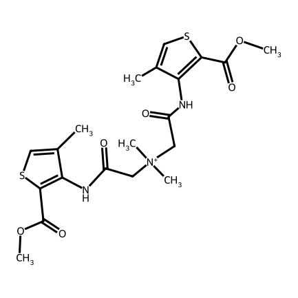 COC(=O)c1scc(C)c1NC(=O)C[N+](C)(C)CC(=O)Nc1c(C)csc1C(=O)OC